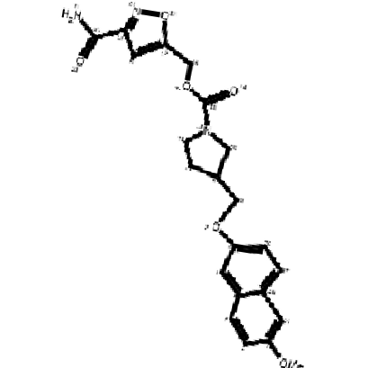 COc1ccc2cc(OCC3CCN(C(=O)OCc4cc(C(N)=O)no4)C3)ccc2c1